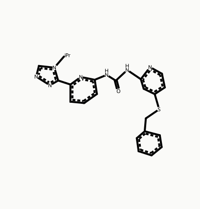 CC(C)n1cnnc1-c1cccc(NC(=O)Nc2cc(SCc3ccccc3)ccn2)n1